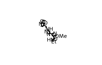 CCNC(=O)c1cc(-c2cc(NCCc3ccnc4c3OCCO4)ncn2)cnc1OC